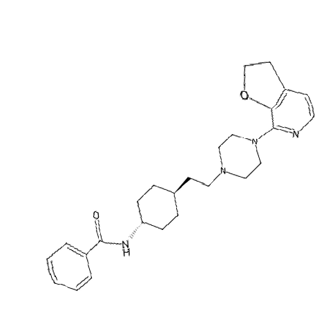 O=C(N[C@H]1CC[C@H](CCN2CCN(c3nccc4c3OCC4)CC2)CC1)c1ccccc1